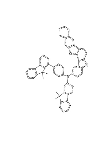 CC1(C)c2ccccc2-c2ccc(N(c3ccc(-c4cccc5c4C(C)(C)c4ccccc4-5)cc3)c3ccc4sc5ccc6c7cc8ccccc8cc7oc6c5c4c3)cc21